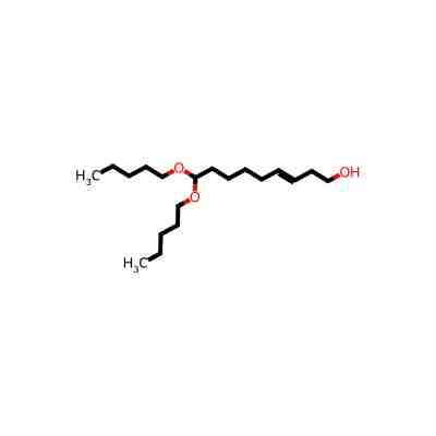 CCCCCOC(CCCC/C=C/CCO)OCCCCC